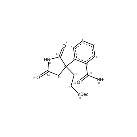 CCCCCCCCCCCCC1(c2ccccc2C([NH])=O)CC(=O)NC1=O